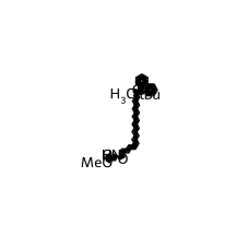 COC(=O)CNC(=O)CCC/C=C\CCCCCCCCCCCCC(C)O[Si](c1ccccc1)(c1ccccc1)C(C)(C)C